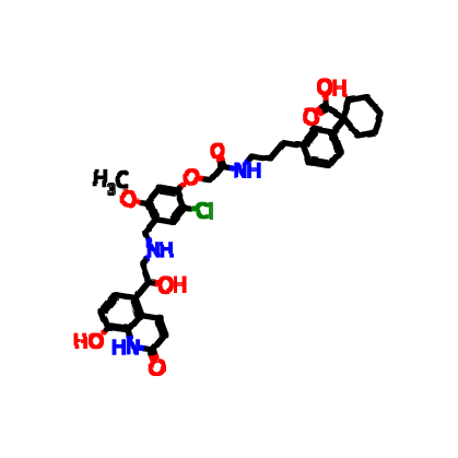 COc1cc(OCC(=O)NCCCc2cccc(C3(C(=O)O)CCCCC3)c2)c(Cl)cc1CNCC(O)c1ccc(O)c2[nH]c(=O)ccc12